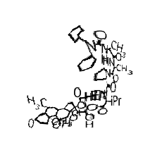 CCC(=O)O[C@]1(C(=O)C(O)OC(=O)[C@@H](NC(=O)[C@@H]2CCCN2C(=O)[C@H](C)NC(=O)[C@H](C)NC(=O)N(c2ccccc2)c2ccccc2)C(C)C)CCC2C3C[C@H](C)C4=CC(=O)C=C[C@]4(C)C3[C@@H](O)C[C@@]21C